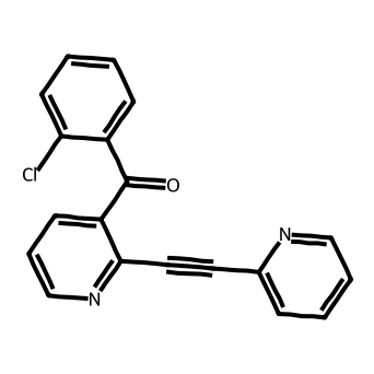 O=C(c1ccccc1Cl)c1cccnc1C#Cc1ccccn1